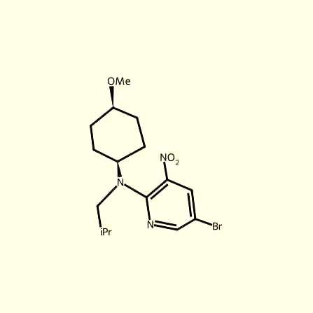 CO[C@H]1CC[C@@H](N(CC(C)C)c2ncc(Br)cc2[N+](=O)[O-])CC1